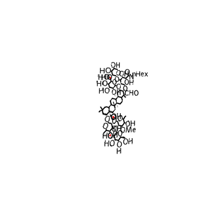 CCCCCCNC(=O)C1OC(O[C@H]2CC[C@@]3(C)C(CC[C@]4(C)C3CC=C3C5CC(C)(C)CC[C@]5(C(=O)OC5OC(C)C(O)C(O)C5OC5OC(C)C(O)C(OC)C5OC5OC(CO)C(O)C(O)C5O)[C@H](O)C[C@]34C)[C@]2(C)C=O)C(OC2OC(CO)C(O)C(O)C2O)C(OC2OCC(O)C(O)C2O)C1O